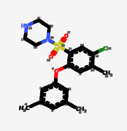 Cc1cc(C)cc(Oc2cc(C)c(Cl)cc2S(=O)(=O)N2CCNCC2)c1